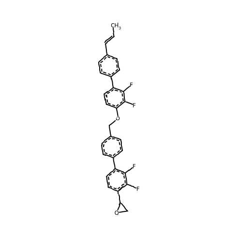 C/C=C/c1ccc(-c2ccc(OCc3ccc(-c4ccc(C5CO5)c(F)c4F)cc3)c(F)c2F)cc1